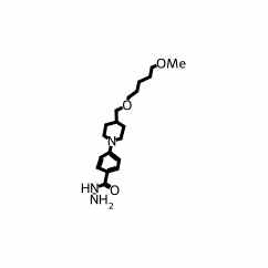 COCCCCCOCC1CCN(c2ccc(C(=O)NN)cc2)CC1